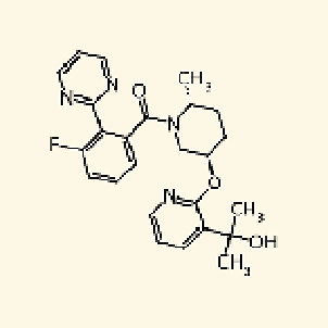 C[C@@H]1CC[C@@H](Oc2ncccc2C(C)(C)O)CN1C(=O)c1cccc(F)c1-c1ncccn1